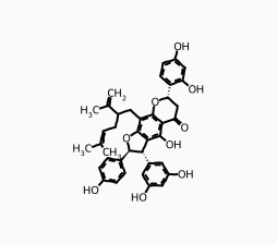 C=C(C)C(CC=C(C)C)Cc1c2c(c(O)c3c1O[C@H](c1ccc(O)cc1)[C@H]3c1cc(O)cc(O)c1)C(=O)C[C@@H](c1ccc(O)cc1O)O2